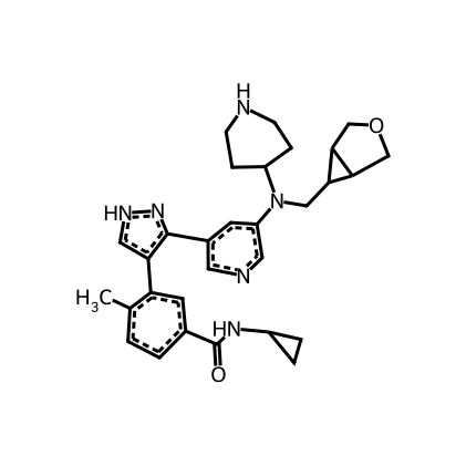 Cc1ccc(C(=O)NC2CC2)cc1-c1c[nH]nc1-c1cncc(N(CC2C3COCC32)C2CCNCC2)c1